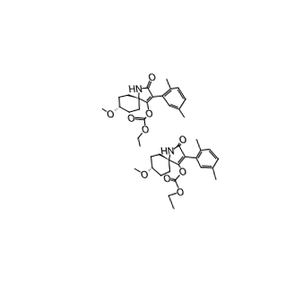 CCOC(=O)OC1=C(c2cc(C)ccc2C)C(=O)N[C@]12CC[C@@H](OC)CC2.CCOC(=O)OC1=C(c2cc(C)ccc2C)C(=O)N[C@]12CC[C@@H](OC)CC2